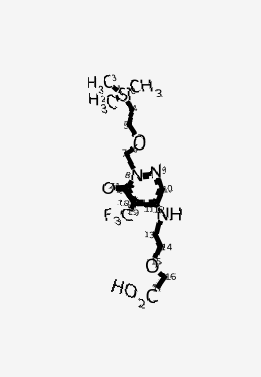 C[Si](C)(C)CCOCn1ncc(NCCOCC(=O)O)c(C(F)(F)F)c1=O